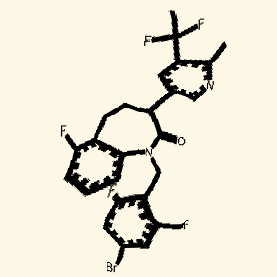 Cc1ncc(C2CCc3c(F)cccc3N(Cc3c(F)cc(Br)cc3F)C2=O)cc1C(C)(F)F